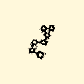 CC12C=CC=C(c3cccc(-c4ccc5c6ccccc6c6ccccc6c5c4)c3)C1Sc1c(-c3ccccc3)cccc12